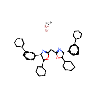 [Br-].[Br-].[Pd+2].c1cc(C2CCCCC2)cc([C@H]2N=C(CC3=N[C@H](c4cccc(C5CCCCC5)c4)C(C4CCCCC4)O3)OC2C2CCCCC2)c1